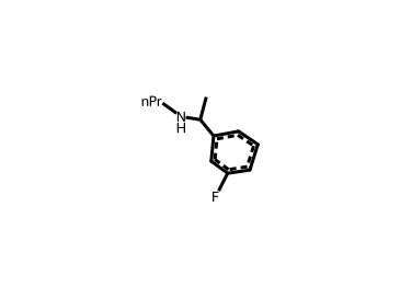 CCCNC(C)c1cccc(F)c1